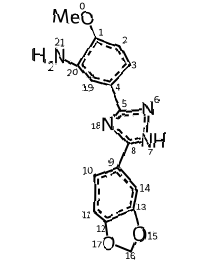 COc1ccc(-c2n[nH]c(-c3ccc4c(c3)OCO4)n2)cc1N